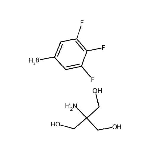 Bc1cc(F)c(F)c(F)c1.NC(CO)(CO)CO